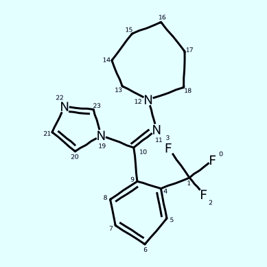 FC(F)(F)c1ccccc1C(=NN1CCCCCC1)n1ccnc1